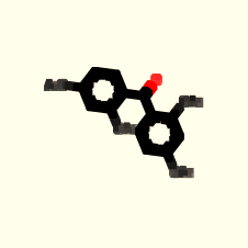 CC(=O)Oc1ccc(C(=O)c2ccc(OC(C)=O)cc2OC(C)=O)c(OC(C)=O)c1